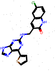 O=c1[nH]c2ccc(Cl)cc2cc1CNc1nc(-c2cccs2)c2nc[nH]c2n1